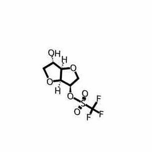 O=S(=O)(O[C@@H]1CO[C@H]2[C@@H]1OC[C@@H]2O)C(F)(F)F